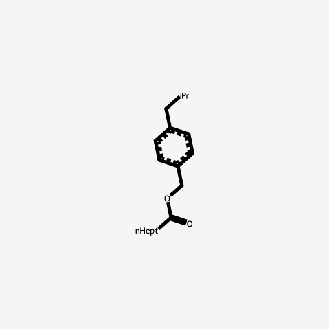 CCCCCCCC(=O)OCc1ccc(CC(C)C)cc1